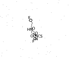 O=C(CCCCc1ccc(F)cc1)NC1CCC(n2c(=O)c3cc(F)cnc3n(C3CCSCC3)c2=O)CC1